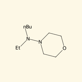 CCCCN(CC)N1CCOCC1